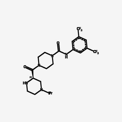 CC(C)N1CCN[C@@H](C(=O)N2CCN(C(=O)Nc3cc(C(F)(F)F)cc(C(F)(F)F)c3)CC2)C1